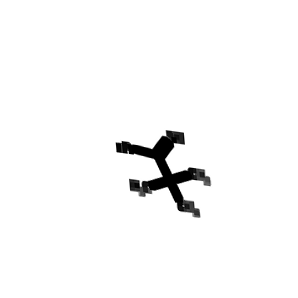 CCCC(=N)C(C)(C)C